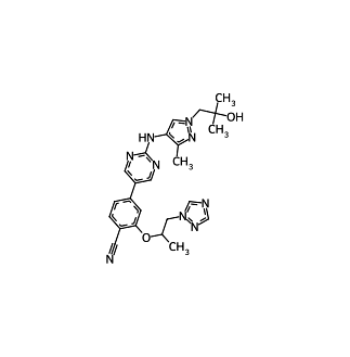 Cc1nn(CC(C)(C)O)cc1Nc1ncc(-c2ccc(C#N)c(OC(C)Cn3cncn3)c2)cn1